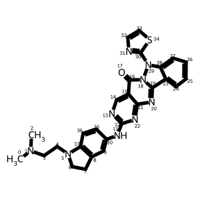 CN(C)CCN1CCc2cc(Nc3ncc4c(=O)n5c(nc4n3)c3ccccc3n5-c3nccs3)ccc21